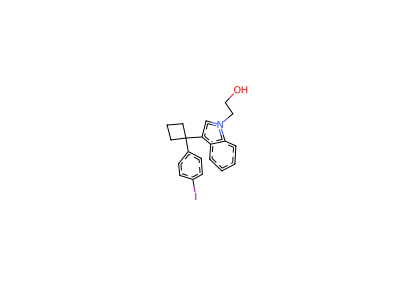 OCCn1cc(C2(c3ccc(I)cc3)CCC2)c2ccccc21